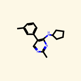 Cc1cccc(-c2cnc(C)nc2NC2CCCC2)c1